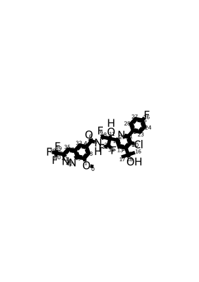 COc1cc(C(=O)NC(F)C(O)(c2cc(C(C)(C)O)c(Cl)c(-c3ccc(F)cc3)n2)C(F)F)cc2cc(C(F)(F)F)nnc12